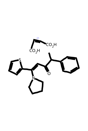 CC(C(=O)C=C(c1cccs1)N1CCCC1)c1ccccc1.O=C(O)/C=C\C(=O)O